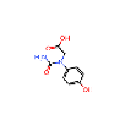 NC(=O)N(CC(=O)O)c1ccc(O)cc1